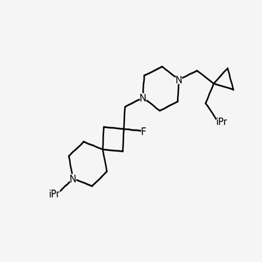 CC(C)CC1(CN2CCN(CC3(F)CC4(CCN(C(C)C)CC4)C3)CC2)CC1